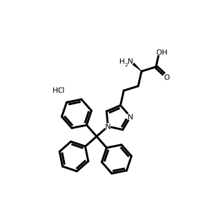 Cl.N[C@H](CCc1cn(C(c2ccccc2)(c2ccccc2)c2ccccc2)cn1)C(=O)O